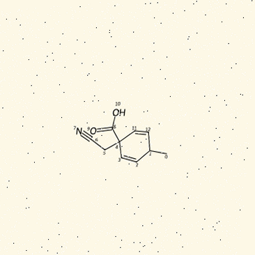 CC1C=CC(CC#N)(C(=O)O)C=C1